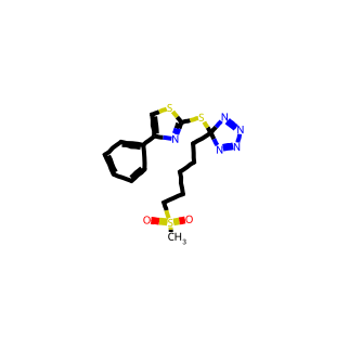 CS(=O)(=O)CCCCCC1(Sc2nc(-c3ccccc3)cs2)N=NN=N1